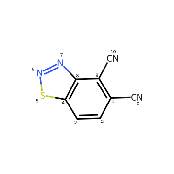 N#Cc1ccc2snnc2c1C#N